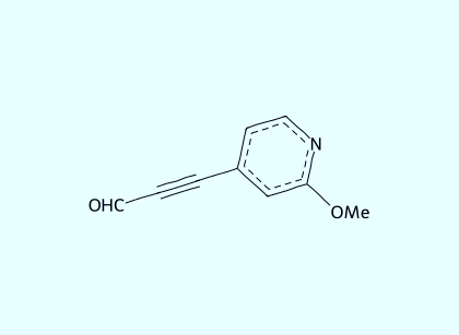 COc1cc(C#CC=O)ccn1